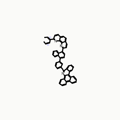 C/C=C\C(=C/C)c1ccc2ccc3ccc(-c4ccc(-c5cccc(-c6nc7c8ccccc8c8ccccc8c7c7ccccc67)c5)c5ccccc45)nc3c2n1